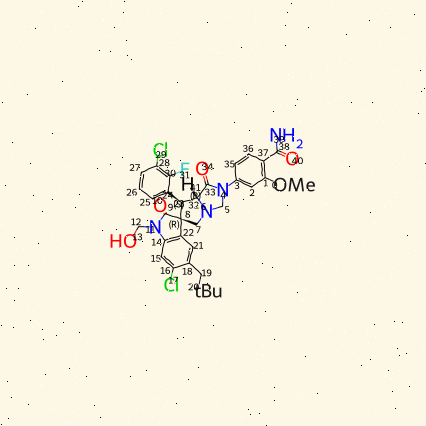 COc1cc(N2CN3C[C@@]4(C(=O)N(CO)c5cc(Cl)c(CC(C)(C)C)cc54)[C@@H](c4cccc(Cl)c4F)[C@@H]3C2=O)ccc1C(N)=O